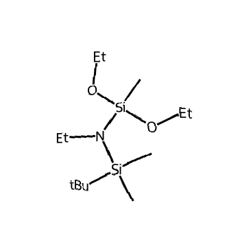 CCO[Si](C)(OCC)N(CC)[Si](C)(C)C(C)(C)C